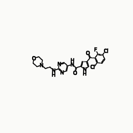 O=C(Nc1cnc(NCCN2CCOCC2)nc1)c1cc(C(=O)c2c(Cl)ccc(Cl)c2F)c[nH]1